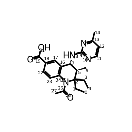 CCC1(CC)[C@H](C)[C@@H](Nc2nccc(C)n2)c2cc(C(=O)O)ccc2N1C(C)=O